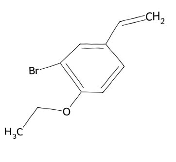 C=Cc1ccc(OCC)c(Br)c1